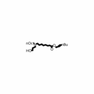 CCCCC#CCOC(=O)CCCCCCCN(CCCO)CCCCCCCC